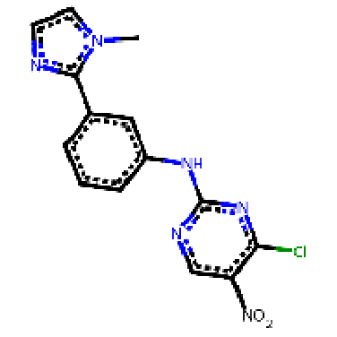 Cn1ccnc1-c1cccc(Nc2ncc([N+](=O)[O-])c(Cl)n2)c1